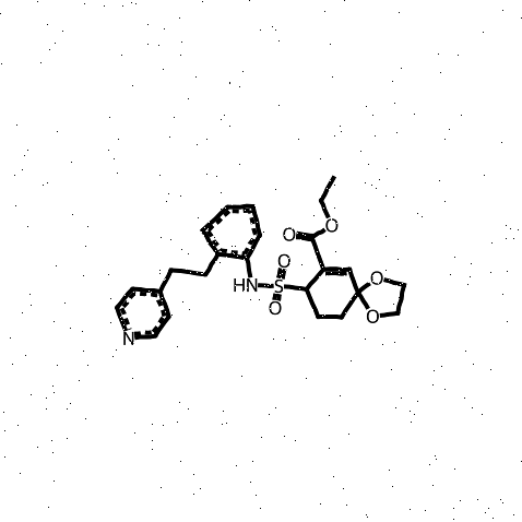 CCOC(=O)C1=CC2(CCC1S(=O)(=O)Nc1ccccc1CCc1ccncc1)OCCO2